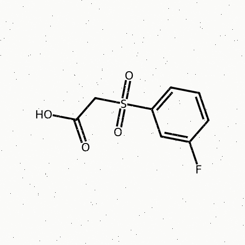 O=C(O)CS(=O)(=O)c1cccc(F)c1